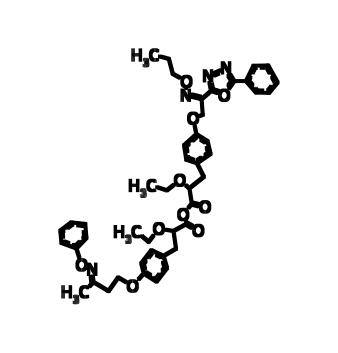 CCCON=C(COc1ccc(CC(OCC)C(=O)OC(=O)C(Cc2ccc(OCCC(C)=NOc3ccccc3)cc2)OCC)cc1)c1nnc(-c2ccccc2)o1